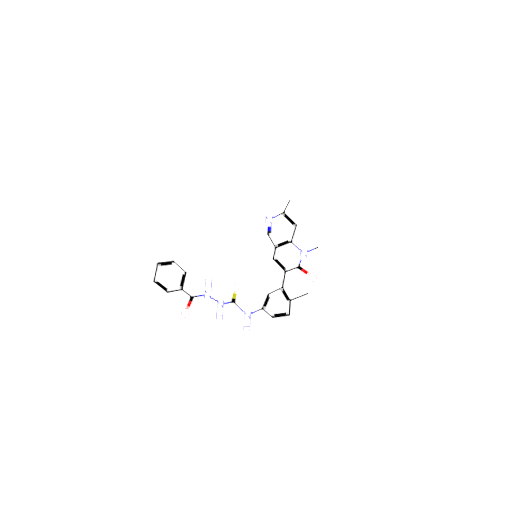 Cc1cc2c(cn1)cc(-c1cc(NC(=S)NNC(=O)c3ccccc3)ccc1C)c(=O)n2C